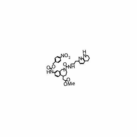 COC(=O)CC1CCN(C(=O)NCCCc2ccc3c(n2)NCCC3)Cc2cc(NC(=O)OCc3ccc([N+](=O)[O-])cc3)ccc21